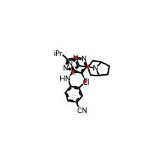 CC(C)c1noc(C2CC3CCC(C2)N3c2ncnc(Nc3ccc(C#N)cc3Cl)c2F)n1